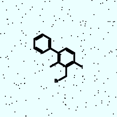 Cc1c(-c2ccccc2)ccc(I)c1CBr